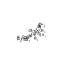 COCOc1c(-c2cc(Cl)c3cc(N4CCN(C(=O)OC(C)(C)C)CC4)cc(C)c3n2)cc2cn(C)nc2c1C